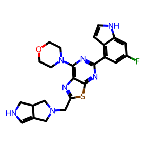 Fc1cc(-c2nc(N3CCOCC3)c3nc(CN4CC5=CNCC5C4)sc3n2)c2cc[nH]c2c1